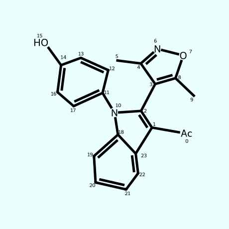 CC(=O)c1c(-c2c(C)noc2C)n(-c2ccc(O)cc2)c2ccccc12